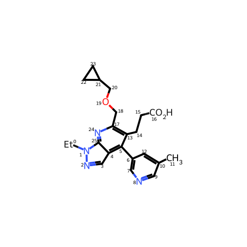 CCn1ncc2c(-c3cncc(C)c3)c(CCC(=O)O)c(COCC3CC3)nc21